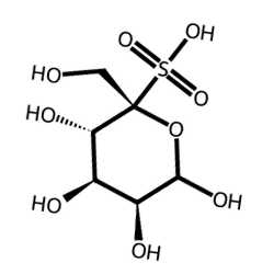 O=S(=O)(O)[C@]1(CO)OC(O)[C@@H](O)[C@@H](O)[C@@H]1O